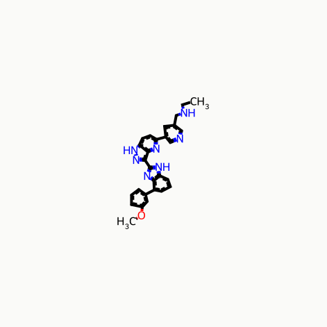 CCNCc1cncc(-c2ccc3[nH]nc(-c4nc5c(-c6cccc(OC)c6)cccc5[nH]4)c3n2)c1